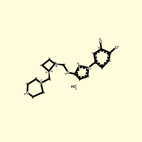 Cl.Clc1ccc(-n2ccc(OC[C@@H]3CC[C@@H]3CN3CCOCC3)n2)cc1Cl